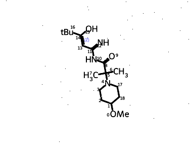 COC1CCN(C(C)(C)C(=O)NC(=N)/C=C(\O)C(C)(C)C)CC1